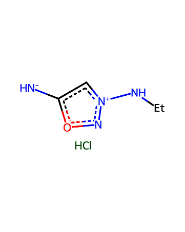 CCN[n+]1cc([NH-])on1.Cl